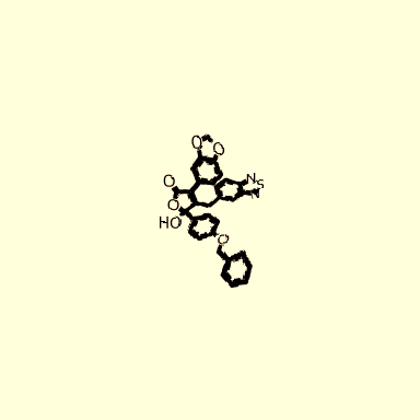 O=C1OC(O)(c2ccc(OCc3ccccc3)cc2)C(Cc2ccc3nsnc3c2)=C1c1ccc2c(c1)OCO2